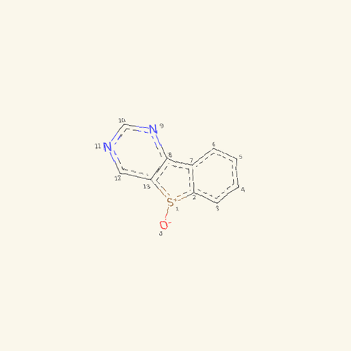 [O-][s+]1c2ccccc2c2ncncc21